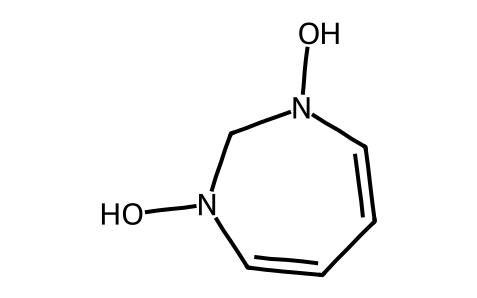 ON1C=CC=CN(O)C1